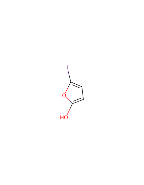 Oc1ccc(I)o1